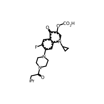 CC(C)CC(=O)N1CCN(c2cc3c(cc2F)c(=O)c(OC(=O)O)cn3C2CC2)CC1